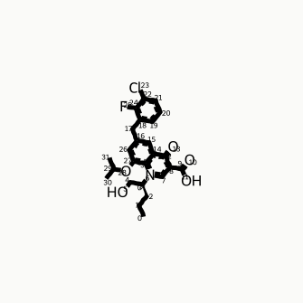 CCC[C@@H](CO)n1cc(C(=O)O)c(=O)c2cc(Cc3cccc(Cl)c3F)cc(OC(C)C)c21